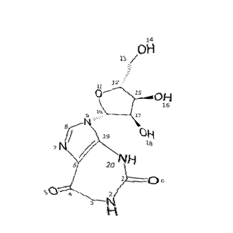 O=C1NCC(=O)c2ncn([C@@H]3O[C@H](CO)[C@@H](O)[C@H]3O)c2N1